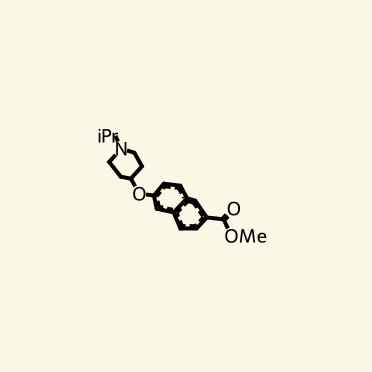 COC(=O)c1ccc2cc(OC3CCN(C(C)C)CC3)ccc2c1